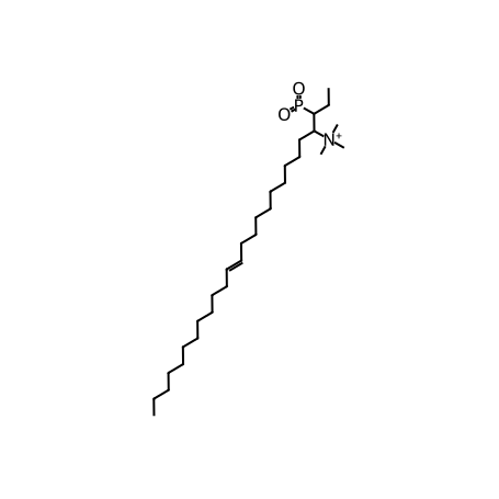 CCCCCCCCCCCC=CCCCCCCCCCC(C(CC)P(=O)=O)[N+](C)(C)C